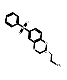 NCC[C@@H]1COc2cc(S(=O)(=O)c3ccccc3)ccc2O1